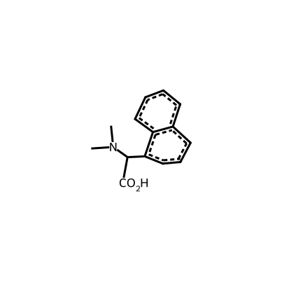 CN(C)C(C(=O)O)c1cccc2ccccc12